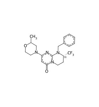 CC1CN(c2cc(=O)n3c(n2)N(Cc2ccccc2)[C@H](C(F)(F)F)CC3)CCO1